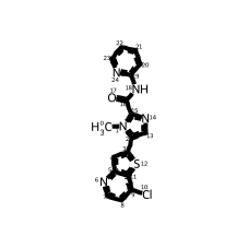 Cn1c(-c2cc3nccc(Cl)c3s2)cnc1C(=O)Nc1ccccn1